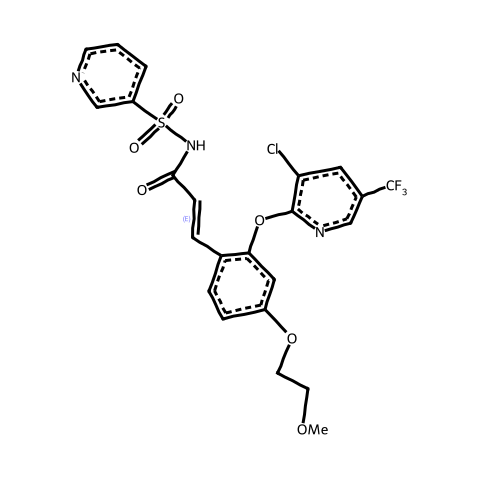 COCCOc1ccc(/C=C/C(=O)NS(=O)(=O)c2cccnc2)c(Oc2ncc(C(F)(F)F)cc2Cl)c1